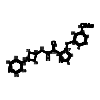 COc1cccc(Cn2ccnc2C(=O)NCC2CN(c3ccncc3)C2)c1